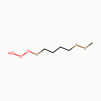 CSSCCCCSOOO